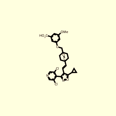 COc1cc(OCC23CCC(C=Cc4c(-c5c(Cl)cncc5Cl)noc4C4CC4)(CC2)CO3)cc(C(=O)O)c1